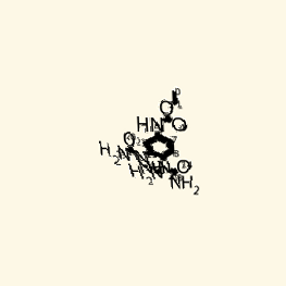 CCOC(=O)Nc1ccc(N(N)C(N)=O)c(N(N)C(N)=O)c1